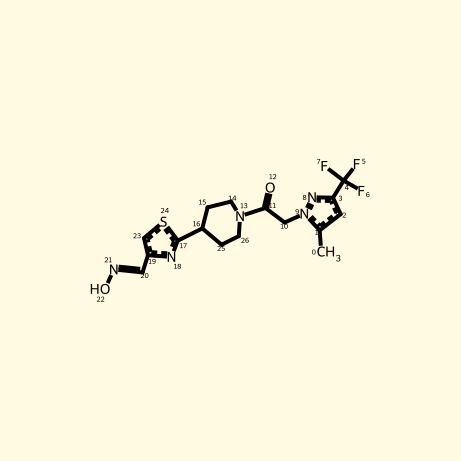 Cc1cc(C(F)(F)F)nn1CC(=O)N1CCC(c2nc(/C=N/O)cs2)CC1